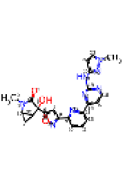 CN1C(=O)C(O)(c2cc(-c3cccc(-c4ccnc(Nc5ccn(C)n5)n4)n3)no2)C2CC21